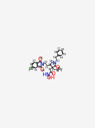 CC(C)CC1(CC(=O)NO)C(=O)N(CCc2ccccc2)CC1CCN1C(=O)c2ccc(F)cc2C1=O